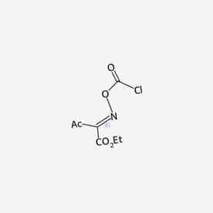 CCOC(=O)/C(=N/OC(=O)Cl)C(C)=O